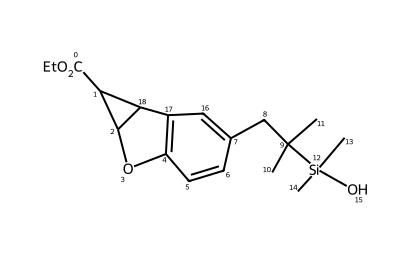 CCOC(=O)C1C2Oc3ccc(CC(C)(C)[Si](C)(C)O)cc3C21